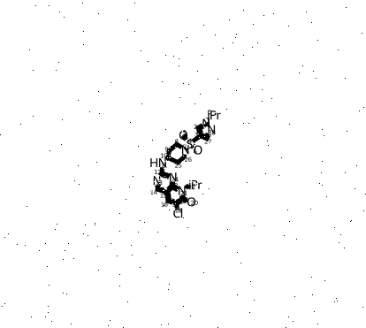 CC(C)n1cc(S(=O)(=O)N2CCC(Nc3ncc4cc(Cl)c(=O)n(C(C)C)c4n3)CC2)cn1